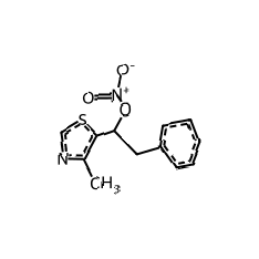 Cc1ncsc1C(Cc1ccccc1)O[N+](=O)[O-]